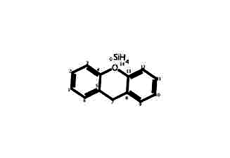 [SiH4].c1ccc2c(c1)Cc1ccccc1O2